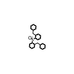 [O-][S+](c1ccccc1Cc1ccccc1)c1ccccc1Cc1ccccc1